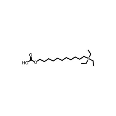 CC[Si](CC)(CC)CCCCCCCCCCCOC(=O)O